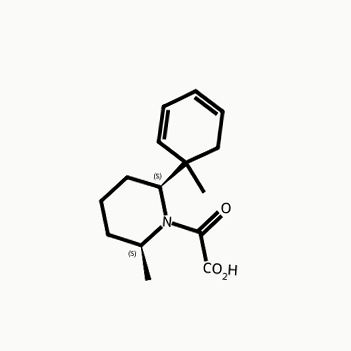 C[C@H]1CCC[C@@H](C2(C)C=CC=CC2)N1C(=O)C(=O)O